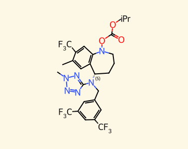 Cc1cc2c(cc1C(F)(F)F)N(OC(=O)OC(C)C)CCC[C@@H]2N(Cc1cc(C(F)(F)F)cc(C(F)(F)F)c1)c1nnn(C)n1